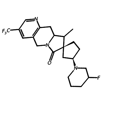 CC1C2Cc3ncc(C(F)(F)F)cc3CN2C(=O)[C@]12CC[C@@H](N1CCCC(F)C1)C2